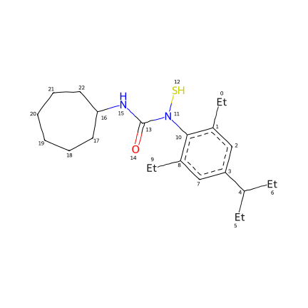 CCc1cc(C(CC)CC)cc(CC)c1N(S)C(=O)NC1CCCCCC1